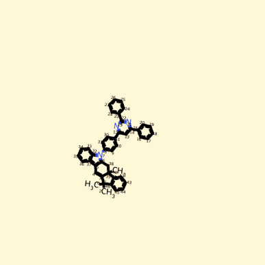 CC1(C)C2=Cc3c(n(-c4ccc(-c5cc(-c6ccccc6)nc(-c6ccccc6)n5)cc4)c4ccccc34)CC2(C)c2ccccc21